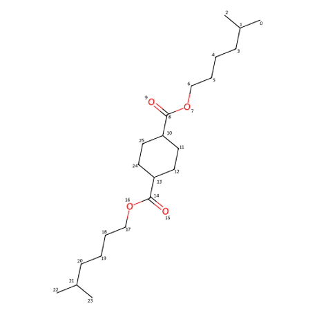 CC(C)CCCCOC(=O)C1CCC(C(=O)OCCCCC(C)C)CC1